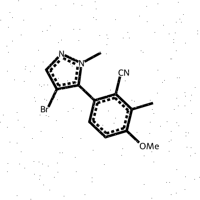 COc1ccc(-c2c(Br)cnn2C)c(C#N)c1C